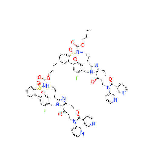 CCCCOC(=O)NS(=O)(=O)c1ccccc1-c1ccc(Cn2c(CCC)nc(CC)c2C(=O)CCN(C(=O)c2cccnc2)c2cccnc2)c(F)c1.CCCCOC(=O)NS(=O)(=O)c1ccccc1-c1ccc(Cn2c(CCC)nc(CC)c2C(=O)CCN(C(=O)c2ccncc2)c2cccnc2)c(F)c1